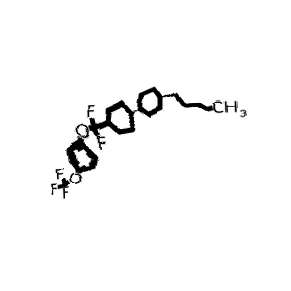 CCCCC[C@H]1CC[C@H](C2CCC(C(F)(F)Oc3ccc(OC(F)(F)F)cc3)CC2)CC1